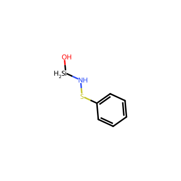 O[SiH2]NSc1ccccc1